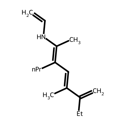 C=CN/C(C)=C(/C=C(\C)C(=C)CC)CCC